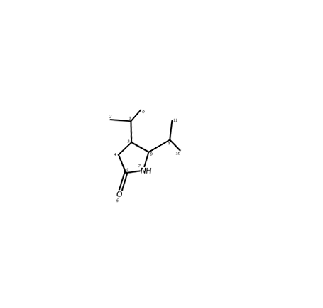 CC(C)C1CC(=O)NC1C(C)C